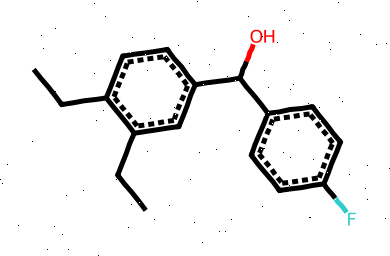 CCc1ccc(C(O)c2ccc(F)cc2)cc1CC